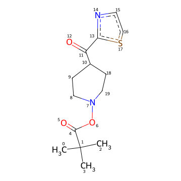 CC(C)(C)C(=O)ON1CCC(C(=O)c2nccs2)CC1